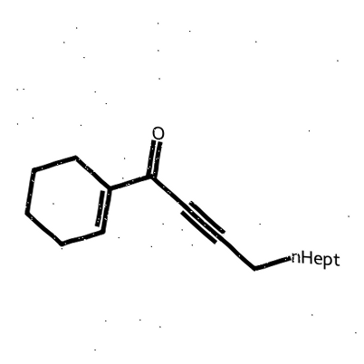 CCCCCCCCC#CC(=O)C1=CCCCC1